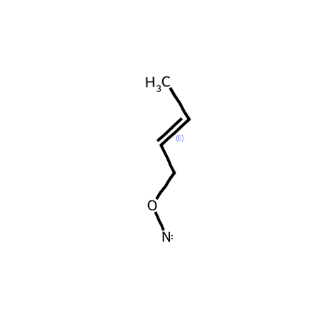 C/C=C/CO[N]